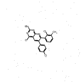 Cc1cccc(-c2nc3nc(C(C)(C)C)nc(Cl)c3cc2-c2ccc(Cl)cc2)c1Cl